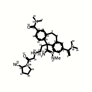 C=C(c1ccc2c(c1)CCc1cc(C(=O)N(C)C)ccc1C2(CCNCC(=O)N1CCCC1C#N)/C(N)=N/NC)N(C)C